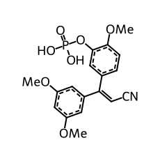 COc1cc(OC)cc(C(=CC#N)c2ccc(OC)c(OP(=O)(O)O)c2)c1